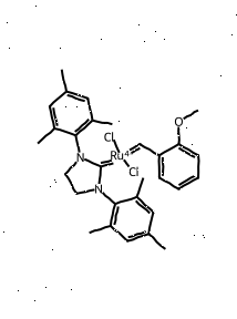 COc1ccccc1[CH]=[Ru-4]([Cl])([Cl])=[C]1N(c2c(C)cc(C)cc2C)CCN1c1c(C)cc(C)cc1C